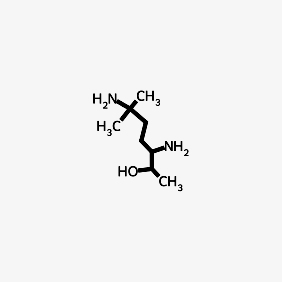 CC(O)C(N)CCC(C)(C)N